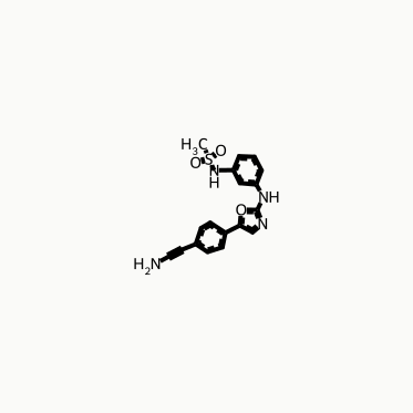 CS(=O)(=O)Nc1cccc(Nc2ncc(-c3ccc(C#CN)cc3)o2)c1